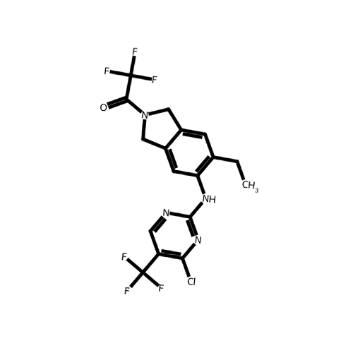 CCc1cc2c(cc1Nc1ncc(C(F)(F)F)c(Cl)n1)CN(C(=O)C(F)(F)F)C2